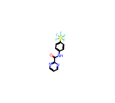 O=C(Nc1ccc(S(F)(F)(F)(F)F)cc1)c1ncccn1